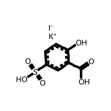 O=C(O)c1cc(S(=O)(=O)O)ccc1O.[I-].[K+]